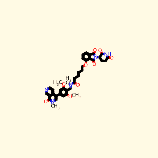 COc1cc(-c2cn(C)c(=O)c3cnccc23)cc(OC)c1CN(C)C(=O)CCCCCOc1cccc2c1C(=O)N(C1CCC(=O)NC1=O)C2=O